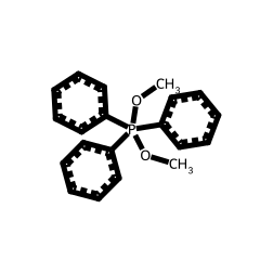 COP(OC)(c1ccccc1)(c1ccccc1)c1ccccc1